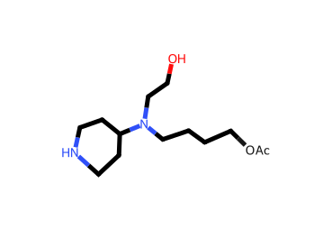 CC(=O)OCCCCN(CCO)C1CCNCC1